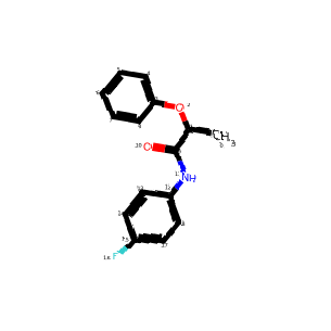 CC(Oc1ccccc1)C(=O)Nc1ccc(F)cc1